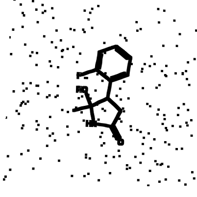 CC1(O)NC(=O)CC1c1ccccc1F